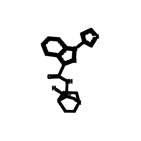 O=C(N[C@@H]1CN2CCC1CC2)c1nn(-c2ccsc2)c2ccccc12